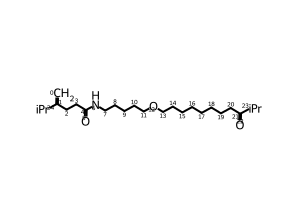 C=C(CCC(=O)NCCCCCOCCCCCCCCC(=O)C(C)C)C(C)C